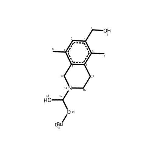 Cc1cc(CO)c(C)c2c1CN(C(O)OC(C)(C)C)CC2